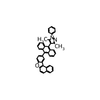 Cc1nn(-c2ccccc2)c(C)c1-c1c2ccccc2c(-c2ccc3oc4ccc5ccccc5c4c3c2)c2ccccc12